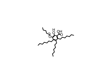 CCCCCCCc1c(CCCCCCC)c(OOCCCC)c(O)c(C(=O)O)c1CCCCCCC